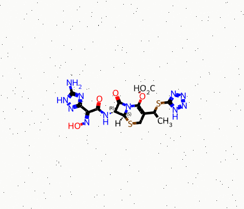 CC(Sc1nnn[nH]1)C1=C(OC(=O)O)N2C(=O)[C@@H](NC(=O)C(=NO)c3n[nH]c(N)n3)[C@@H]2SC1